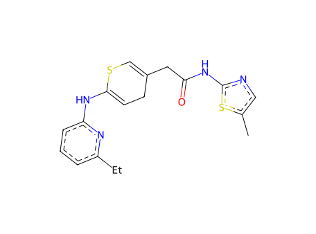 CCc1cccc(NC2=CCC(CC(=O)Nc3ncc(C)s3)=CS2)n1